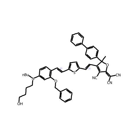 CCCCN(CCCCO)c1ccc(/C=C/c2ccc(/C=C/C3=C(C#N)C(=C(C#N)C#N)OC3(C)c3ccc(-c4ccccc4)cc3)s2)c(OCc2ccccc2)c1